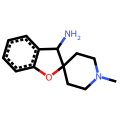 CN1CCC2(CC1)Oc1ccccc1C2N